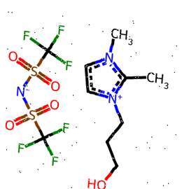 Cc1n(C)cc[n+]1CCCO.O=S(=O)([N-]S(=O)(=O)C(F)(F)F)C(F)(F)F